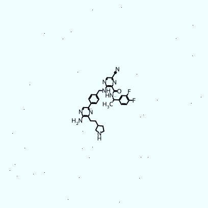 CC(NC(=O)c1nc(C#N)cnc1NCc1ccc(-c2cnc(N)c(CCC3CCNC3)n2)cc1)c1ccc(F)c(F)c1